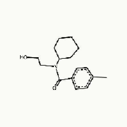 Cc1ccc(C(=O)N(CCO)C2CCCCC2)cc1